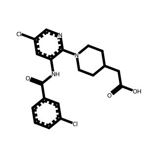 O=C(O)CC1CCN(c2ncc(Cl)cc2NC(=O)c2cccc(Cl)c2)CC1